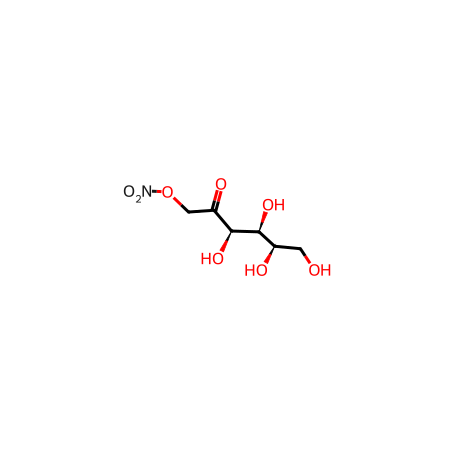 O=C(CO[N+](=O)[O-])[C@H](O)[C@@H](O)[C@H](O)CO